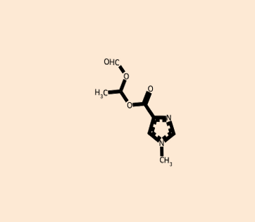 CC(OC=O)OC(=O)c1cn(C)cn1